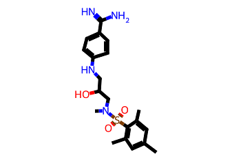 Cc1cc(C)c(S(=O)(=O)N(C)CC(O)CNc2ccc(C(=N)N)cc2)c(C)c1